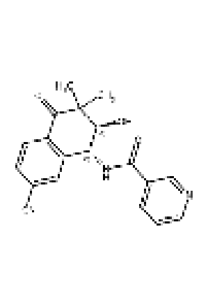 CC1(C)C(=O)c2ccc(C#N)cc2[C@@H](NC(=O)c2cccnc2)[C@@H]1O